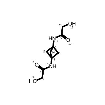 O=C(CO)NC12CC(NC(=O)CO)(C1)C2